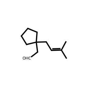 CC(C)=CCC1(CC=O)CCCC1